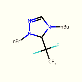 CCCCN1C=NN(CCC)C1C(F)(F)C(F)(F)F